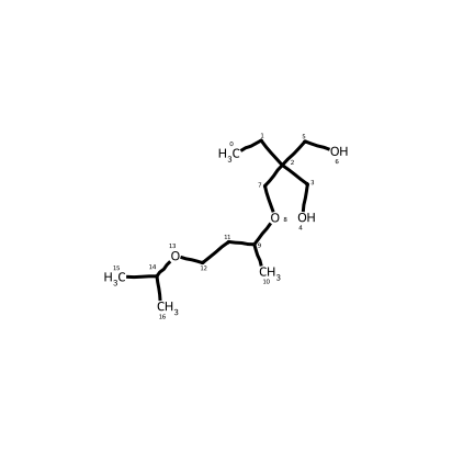 CCC(CO)(CO)COC(C)CCOC(C)C